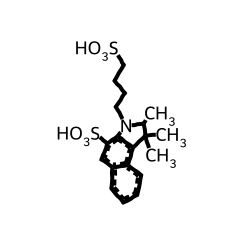 CC1N(CCCCS(=O)(=O)O)c2c(S(=O)(=O)O)cc3ccccc3c2C1(C)C